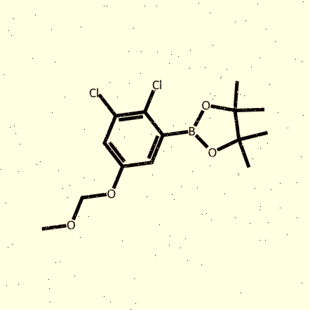 COCOc1cc(Cl)c(Cl)c(B2OC(C)(C)C(C)(C)O2)c1